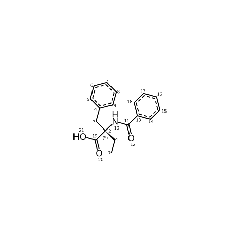 CC[C@@](Cc1ccccc1)(NC(=O)c1ccccc1)C(=O)O